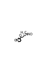 CN(CCCC(=O)c1ccc[n+]([O-])c1)N=O